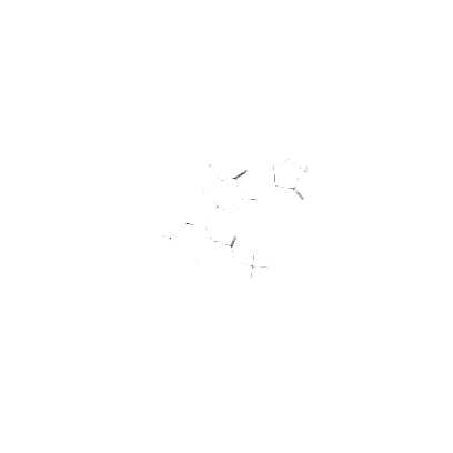 CC(C)C[C@H](NC(=O)OC(C)(C)C)C(O)CN(C[C@@H]1CCNC1=O)C(=O)CCl